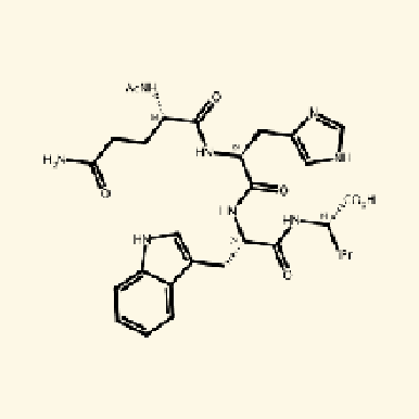 CC(=O)N[C@@H](CCC(N)=O)C(=O)N[C@@H](Cc1c[nH]cn1)C(=O)N[C@@H](Cc1c[nH]c2ccccc12)C(=O)N[C@H](C(=O)O)C(C)C